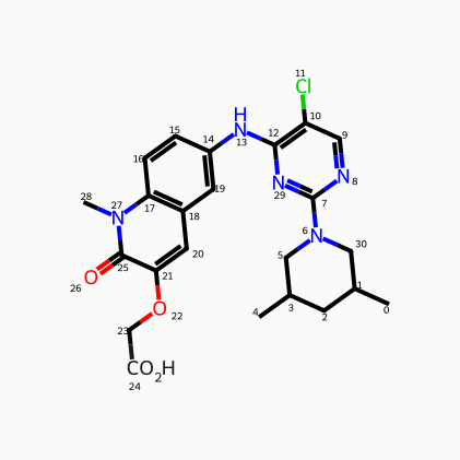 CC1CC(C)CN(c2ncc(Cl)c(Nc3ccc4c(c3)cc(OCC(=O)O)c(=O)n4C)n2)C1